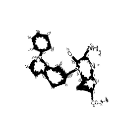 Nc1nc2sc(C(=O)O)cc2n(-c2ccc3ccn(-c4ccccc4)c3c2)c1=O